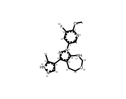 COc1ncc(-n2nc(-c3cn[nH]c3C)c3c2NCOCC3)cc1F